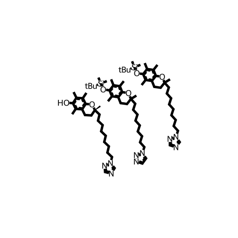 Cc1c(C)c2c(c(C)c1O)CC[C@@](C)(CCCCCCCCCn1cncn1)O2.Cc1c(C)c2c(c(C)c1O[Si](C)(C)C(C)(C)C)CCC(C)(CCCCCCCCCn1ccnn1)O2.Cc1c(C)c2c(c(C)c1O[Si](C)(C)C(C)(C)C)CCC(C)(CCCCCCCCCn1cncn1)O2